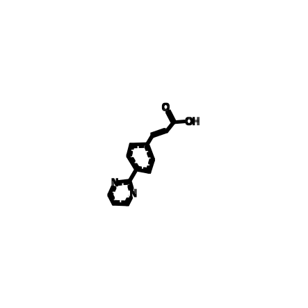 O=C(O)/C=C/c1ccc(-c2ncccn2)cc1